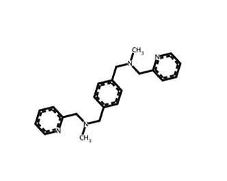 CN(Cc1ccc(CN(C)Cc2ccccn2)cc1)Cc1ccccn1